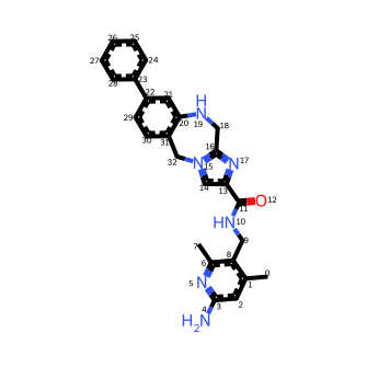 Cc1cc(N)nc(C)c1CNC(=O)c1cn2c(n1)CNc1cc(-c3ccccc3)ccc1C2